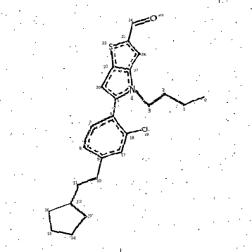 CCCCn1c(-c2ccc(CCC3CCCC3)cc2Cl)cc2sc(C=O)cc21